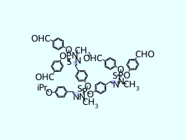 CC(C)Oc1ccc(/C=N/N(C)P(=S)(Oc2ccc(/C=N/N(C)P(=S)(Oc3ccc(C=O)cc3)Oc3ccc(C=O)cc3)cc2)Oc2ccc(/C=N/N(C)P(=S)(Oc3ccc(C=O)cc3)Oc3ccc(C=O)cc3)cc2)cc1